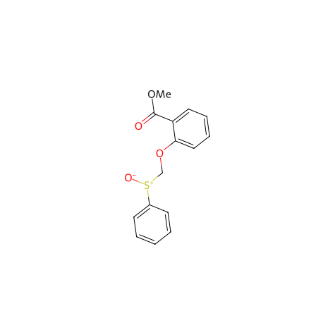 COC(=O)c1ccccc1OC[S+]([O-])c1ccccc1